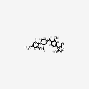 CC1=CNC(N2CCN(C(=O)c3ccc(N4C(=O)OC[C@H]4O)cc3C#N)CC2)C(C)=C1